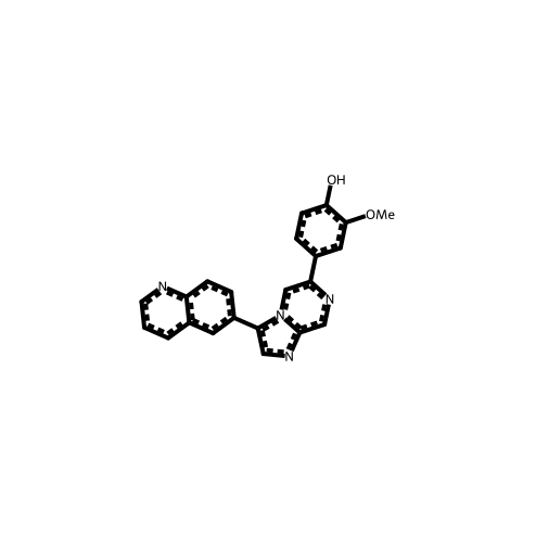 COc1cc(-c2cn3c(-c4ccc5ncccc5c4)cnc3cn2)ccc1O